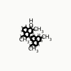 CCc1ccc2c3c(cccc13)C(O)C(C)=C2.CCc1ccc2c3c(cccc13)CC(C)=C2